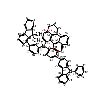 CC1(C)c2ccccc2-c2cccc(-c3cccc(N(c4ccc(-c5ccc6c(c5)c5ccccc5n6-c5ccccc5)cc4)c4ccccc4-c4cccc5cccc(C6CCCCC6)c45)c3)c21